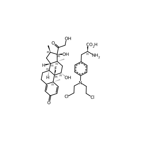 C[C@@H]1C[C@H]2[C@@H]3CCC4=CC(=O)C=C[C@]4(C)[C@@]3(F)[C@@H](O)C[C@]2(C)[C@@]1(O)C(=O)CO.N[C@@H](Cc1ccc(N(CCCl)CCCl)cc1)C(=O)O